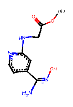 CC(C)(C)OC(=O)CNc1cc(/C(N)=N\O)ccn1